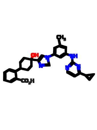 Cc1cc(Nc2nccc(C3CC3)n2)cc(-n2cnc(C3(O)CCC(c4ccccc4C(=O)O)CC3)c2)c1